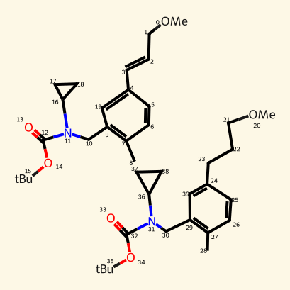 COCC=Cc1ccc(C)c(CN(C(=O)OC(C)(C)C)C2CC2)c1.COCCCc1ccc(C)c(CN(C(=O)OC(C)(C)C)C2CC2)c1